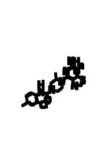 Cc1ccc(NC(=O)N2CCN(c3nc(N)nc4scnc34)C(C)C2)c(Cl)c1